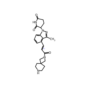 Cc1nn(C2CCC(=O)NC2=O)c2cccc(/C=C/C(=O)N3CC4(CCNCC4)C3)c12